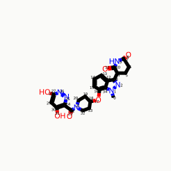 Cn1nc(C2CCC(=O)NC2=O)c2cccc(OC3CCN(C(=O)c4nnc(O)cc4O)CC3)c21